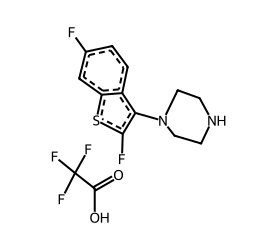 Fc1ccc2c(N3CCNCC3)c(F)sc2c1.O=C(O)C(F)(F)F